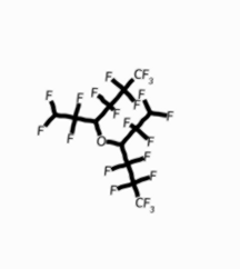 FC(F)C(F)(F)C(OC(C(F)(F)C(F)F)C(F)(F)C(F)(F)C(F)(F)F)C(F)(F)C(F)(F)C(F)(F)F